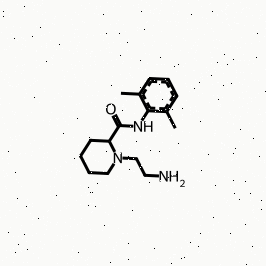 Cc1cccc(C)c1NC(=O)C1CCCCN1CCN